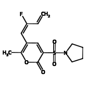 C=C/C(F)=C\c1cc(S(=O)(=O)N2CCCC2)c(=O)oc1C